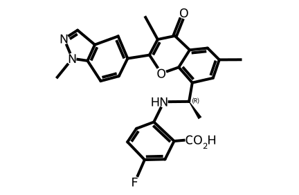 Cc1cc([C@@H](C)Nc2ccc(F)cc2C(=O)O)c2oc(-c3ccc4c(cnn4C)c3)c(C)c(=O)c2c1